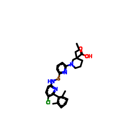 CCCC1(C(=O)O)CCCN(c2cccc(SNc3ccc(Cl)c(-c4c(C)cccc4C)n3)n2)C1